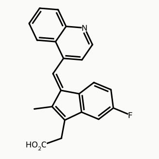 CC1=C(CC(=O)O)c2cc(F)ccc2/C1=C\c1ccnc2ccccc12